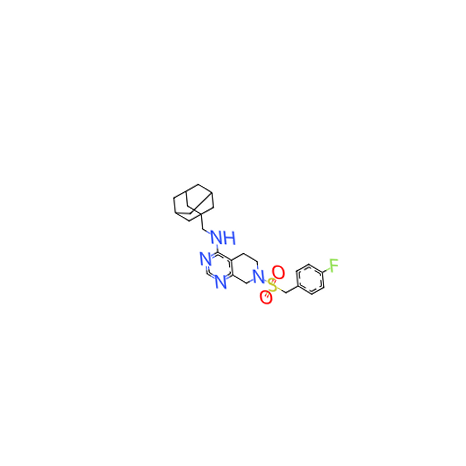 O=S(=O)(Cc1ccc(F)cc1)N1CCc2c(ncnc2NCC23CC4CC(CC(C4)C2)C3)C1